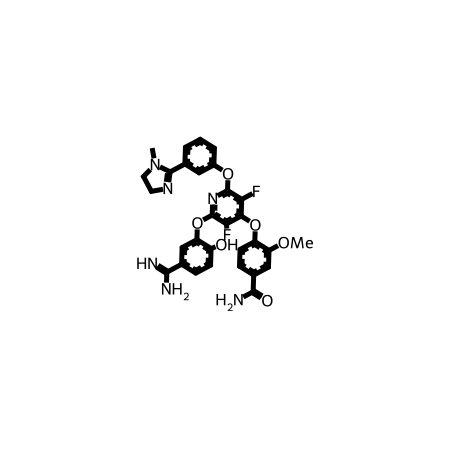 COc1cc(C(N)=O)ccc1Oc1c(F)c(Oc2cccc(C3=NCCN3C)c2)nc(Oc2cc(C(=N)N)ccc2O)c1F